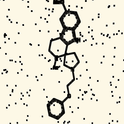 COc1ccc2[nH]c3c(c2c1)CCN(C(C)=O)C31CCN(CCOc2ccccc2)C1